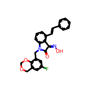 O=C1/C(=N\O)c2c(/C=C/c3ccccc3)cccc2N1Cc1cc(F)cc2c1OCOC2